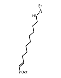 CCCCCCCCC=CCCCCCCCCNOCC